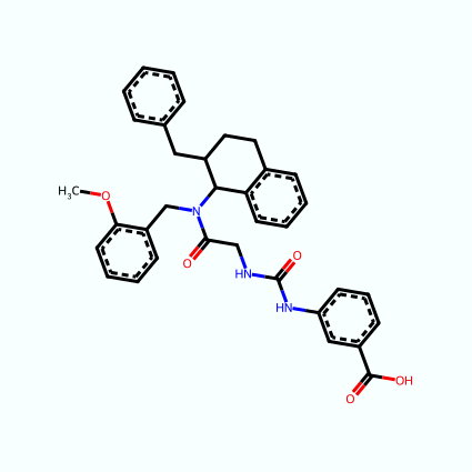 COc1ccccc1CN(C(=O)CNC(=O)Nc1cccc(C(=O)O)c1)C1c2ccccc2CCC1Cc1ccccc1